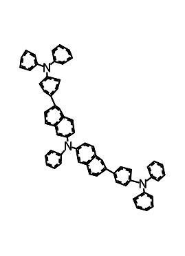 c1ccc(N(c2ccccc2)c2ccc(-c3ccc4cc(N(c5ccccc5)c5ccc6cc(-c7ccc(N(c8ccccc8)c8ccccc8)cc7)ccc6c5)ccc4c3)cc2)cc1